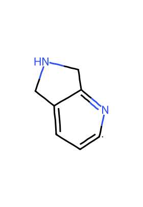 [c]1ccc2c(n1)CNC2